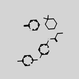 CC(C(=O)Nc1ccc(Oc2ccc(F)cn2)cn1)[C@H]1CCC(F)(F)[C@@H](c2ccc(=O)[nH]c2)C1